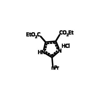 CCCc1nc(C(=O)OCC)c(C(=O)OCC)[nH]1.Cl